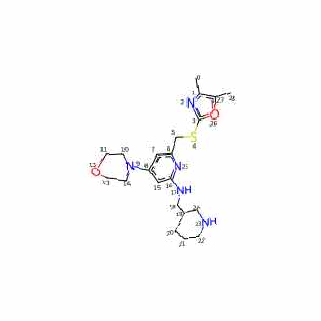 Cc1nc(SCc2cc(N3CCOCC3)cc(NCC3CCCNC3)n2)oc1C